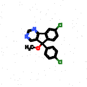 COC1(c2ccc(Cl)cc2)c2ccc(Cl)cc2-c2ncncc21